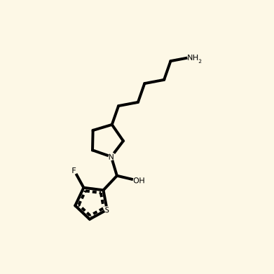 NCCCCCC1CCN(C(O)c2sccc2F)C1